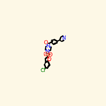 O=C(c1ccc(-c2ccncc2)cc1)N1CCN(S(=O)(=O)c2cc3cc(Cl)ccc3o2)CC1